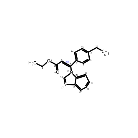 CCOC(=O)/C=C(/c1ccc(CC)cc1)n1cnc2ccccc21